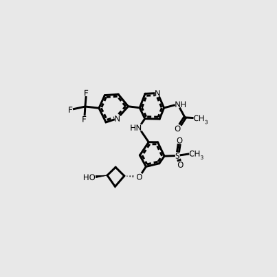 CC(=O)Nc1cc(Nc2cc(O[C@H]3C[C@H](O)C3)cc(S(C)(=O)=O)c2)c(-c2ccc(C(F)(F)F)cn2)cn1